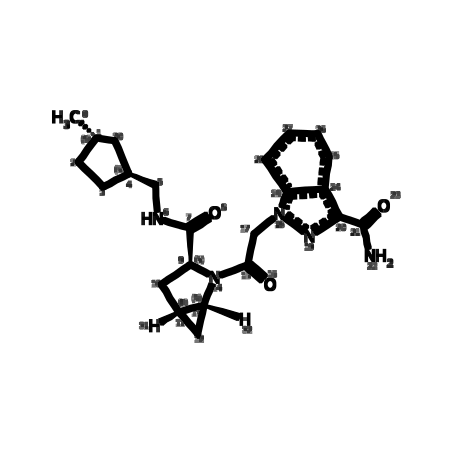 C[C@H]1CC[C@H](CNC(=O)[C@@H]2C[C@H]3C[C@H]3N2C(=O)Cn2nc(C(N)=O)c3ccccc32)C1